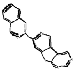 c1ccc2cc(-c3cc4sc5ncncc5c4cn3)ncc2c1